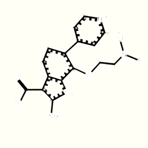 CCCCC(=O)c1c(NC)sc2c(OCCN(CC)CC)c(-c3ccncc3)ccc12